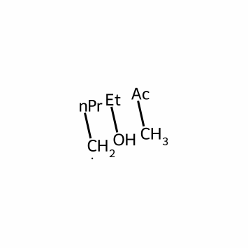 CC(C)=O.CCO.[CH2]CCC